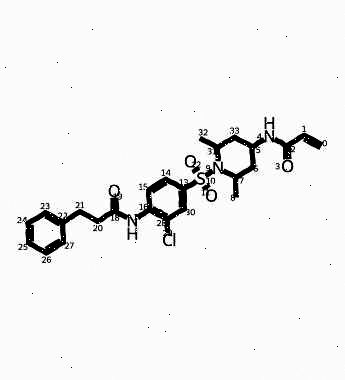 C=CC(=O)NC1CC(C)N(S(=O)(=O)c2ccc(NC(=O)CCc3ccccc3)c(Cl)c2)C(C)C1